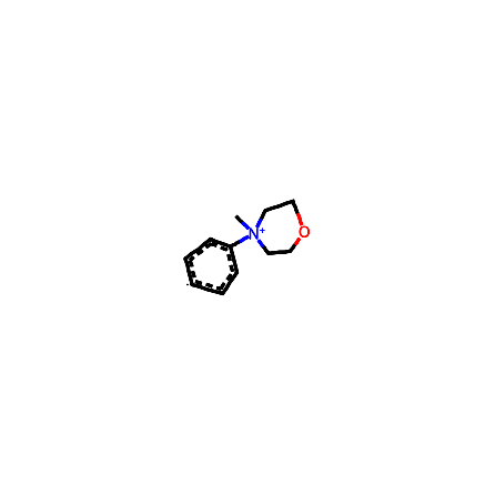 C[N+]1(c2cc[c]cc2)CCOCC1